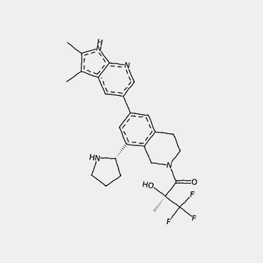 Cc1[nH]c2ncc(-c3cc4c(c([C@@H]5CCCN5)c3)CN(C(=O)[C@](C)(O)C(F)(F)F)CC4)cc2c1C